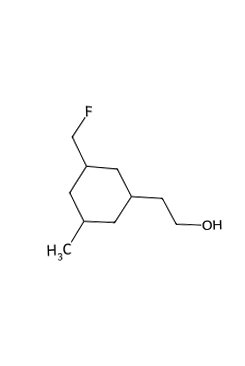 CC1CC(CF)CC(CCO)C1